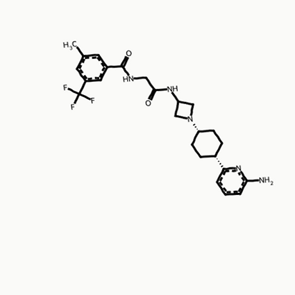 Cc1cc(C(=O)NCC(=O)NC2CN([C@H]3CC[C@@H](c4cccc(N)n4)CC3)C2)cc(C(F)(F)F)c1